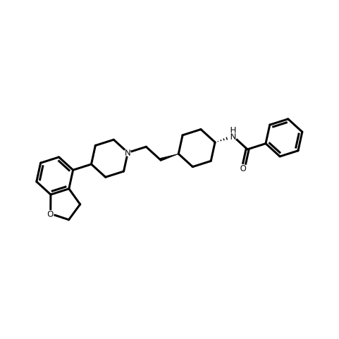 O=C(N[C@H]1CC[C@H](CCN2CCC(c3cccc4c3CCO4)CC2)CC1)c1ccccc1